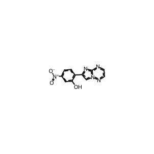 O=[N+]([O-])c1ccc(-c2cn3nccnc3n2)c(O)c1